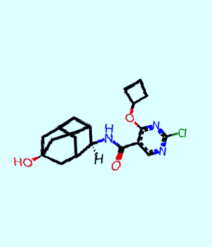 O=C(N[C@H]1C2CC3CC1C[C@@](O)(C3)C2)c1cnc(Cl)nc1OC1CCC1